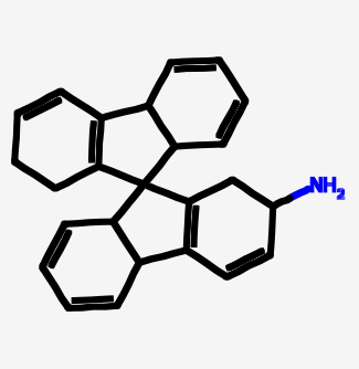 NC1C=CC2=C(C1)C1(C3=C(C=CCC3)C3C=CC=CC31)C1C=CC=CC21